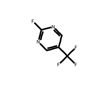 Fc1ncc(C(F)(F)F)cn1